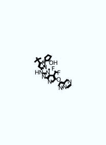 Cn1c(Nc2cc(C(C)(C)C)n([C@H]3CCC[C@@H]3O)n2)nc2ncc(Oc3cnn4ccncc34)c(C(F)F)c21